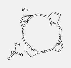 C1=Cc2cc3ccc(cc4nc(cc5ccc(cc1n2)[nH]5)C=C4)[nH]3.O=[SH](=O)O.[Mn]